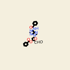 O=C[C@H]1O[C@@H](n2cnc3c(NC(=O)c4ccccc4)ncnc32)CC1OC(=O)c1ccccc1